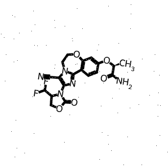 C[C@H](Oc1ccc2c(c1)OCCn1c-2nc(N2C(=O)OCC2C(F)F)c1C#N)C(N)=O